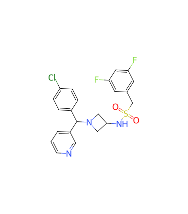 O=S(=O)(Cc1cc(F)cc(F)c1)NC1CN(C(c2ccc(Cl)cc2)c2cccnc2)C1